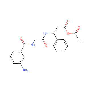 Nc1cccc(C(=O)NCC(=O)NC(CC(=O)OC(=O)C(F)(F)F)c2ccccc2)c1